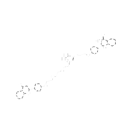 O=c1[nH]c(-c2ccc(OCCCC3=CN(CCOCCOCCOc4ccc(-c5cc(=O)c6ccccc6o5)cc4)NN3)cc2)nc2ccccc12